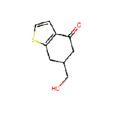 O=C1CC(CO)Cc2sccc21